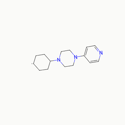 [CH]1CCC(N2CCN(c3ccncc3)CC2)CC1